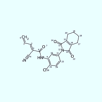 C=C/C=C(\C#N)C(=O)Nc1cc(N2C(=O)C3=C(CCCC3)C2=O)ccc1Cl